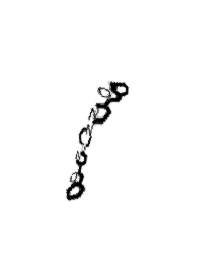 c1ccc2oc(-c3ccc(N4CCCN(c5ccc(-c6cc7ccccc7o6)cn5)CC4)nc3)cc2c1